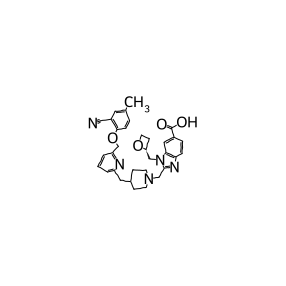 Cc1ccc(OCc2cccc(CC3CCN(Cc4nc5ccc(C(=O)O)cc5n4C[C@@H]4CCO4)CC3)n2)c(C#N)c1